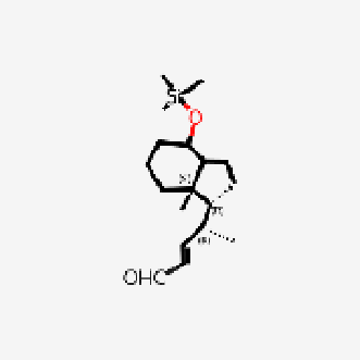 C[C@H](C=CC=O)[C@H]1CCC2C(O[Si](C)(C)C)CCC[C@]21C